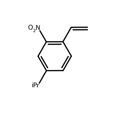 C=Cc1ccc(C(C)C)cc1[N+](=O)[O-]